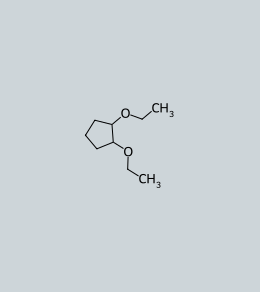 CCOC1CCCC1OCC